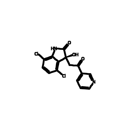 O=C(C[C@@]1(O)C(=O)Nc2c(Cl)ccc(Cl)c21)c1cccnc1